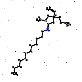 C=C[Si](CC=NCCCCCCCCCCCC)(CCC)CCC